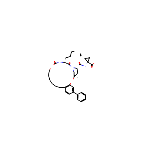 C=C[C@@H]1C[C@]1(NC(=O)[C@@H]1C[C@@H]2CN1C(=O)[C@H](CCCC)NC(=O)OCCCCCCc1ccc(-c3ccccc3)cc1O2)C(=O)O